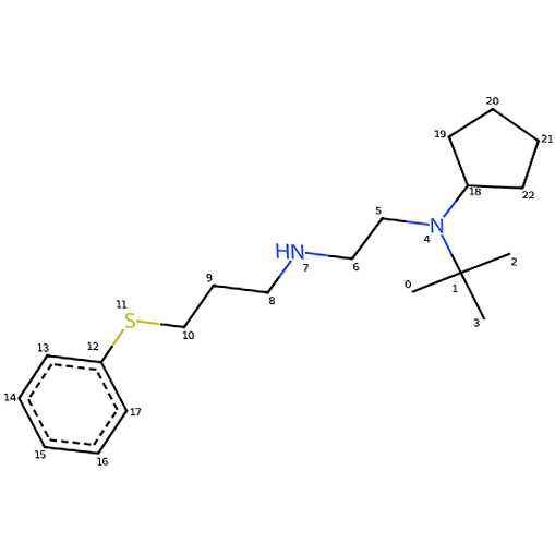 CC(C)(C)N(CCNCCCSc1ccccc1)C1CCCC1